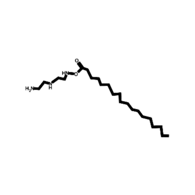 CCCCCCCCCCCCCCCCCC(=O)ONCCNCCN